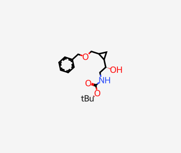 CC(C)(C)OC(=O)NC[C@@H](O)C1CC1COCc1ccccc1